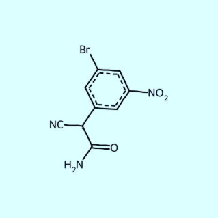 N#C[C](C(N)=O)c1cc(Br)cc([N+](=O)[O-])c1